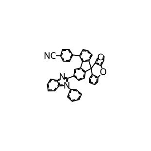 N#Cc1ccc(-c2cccc3c2-c2cc(-c4nc5ccccc5n4-c4ccccc4)ccc2C32c3ccccc3Oc3ccccc32)cc1